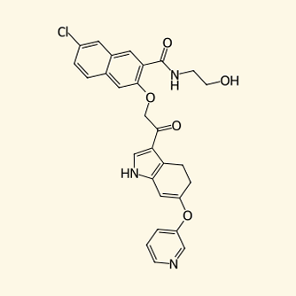 O=C(NCCO)c1cc2cc(Cl)ccc2cc1OCC(=O)c1c[nH]c2c1CCC(Oc1cccnc1)=C2